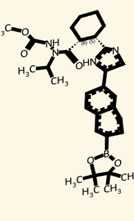 COC(=O)NN(C(=O)[C@@H]1CCCC[C@@H]1c1ncc(-c2ccc3cc(B4OC(C)(C)C(C)(C)O4)ccc3c2)[nH]1)C(C)C